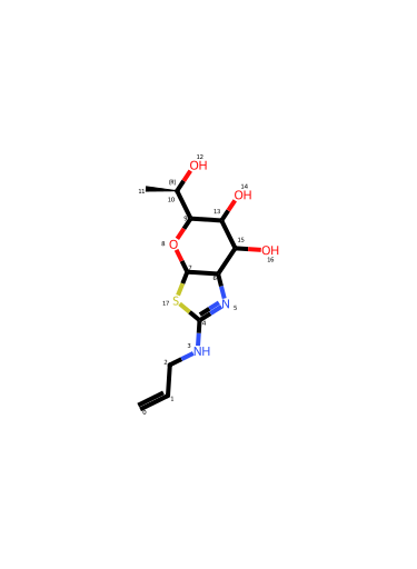 C=CCNC1=NC2C(OC([C@@H](C)O)C(O)C2O)S1